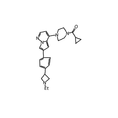 CCN1CC(c2ccc(-c3cc4c(N5CCN(C(=O)C6CC6)CC5)ccnn4c3)cc2)C1